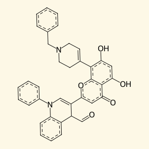 O=CC1C(c2cc(=O)c3c(O)cc(O)c(C4=CCN(Cc5ccccc5)CC4)c3o2)=CN(c2ccccc2)c2ccccc21